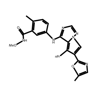 CCCc1c(-c2ncc(C)o2)cn2ncnc(Nc3ccc(C)c(C(=O)NOC)c3)c12